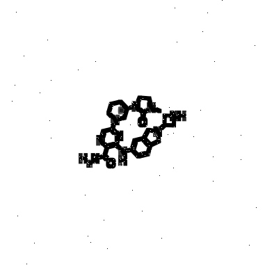 CN1CCN([C@@H]2CCCN(c3cnc(C(N)=O)c(Nc4ccc5c(c4)CN(C4CNC4)C5)n3)C2)C1=O